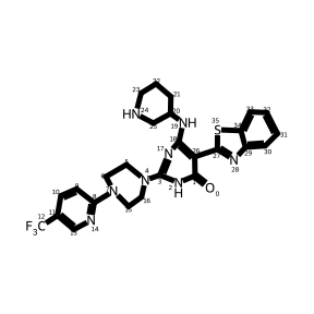 O=c1[nH]c(N2CCN(c3ccc(C(F)(F)F)cn3)CC2)nc(NC2CCCNC2)c1-c1nc2ccccc2s1